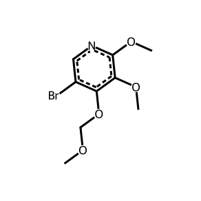 COCOc1c(Br)cnc(OC)c1OC